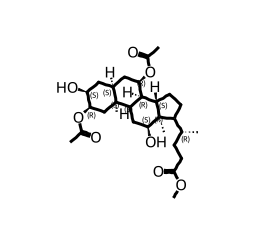 COC(=O)CC[C@@H](C)C1CC[C@H]2[C@@H]3[C@H](OC(C)=O)C[C@@H]4C[C@H](O)[C@H](OC(C)=O)C[C@]4(C)[C@H]3C[C@H](O)[C@]12C